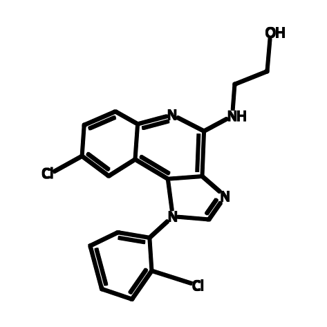 OCCNc1nc2ccc(Cl)cc2c2c1ncn2-c1ccccc1Cl